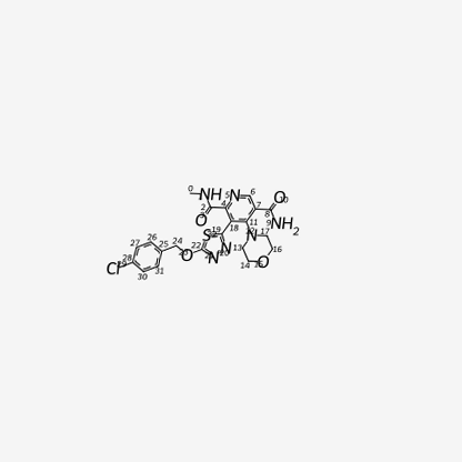 CNC(=O)c1ncc(C(N)=O)c(N2CCOCC2)c1-c1nnc(OCc2ccc(Cl)cc2)s1